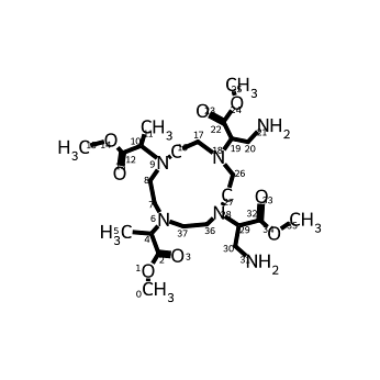 COC(=O)C(C)N1CCN(C(C)C(=O)OC)CCN(C(CN)C(=O)OC)CCN(C(CN)C(=O)OC)CC1